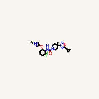 CC(C)N1CC(O[C@H]2CCCC(F)(F)[C@@H]2NC(=O)N2CCC(C)(c3noc(C4CC4)n3)CC2)C1